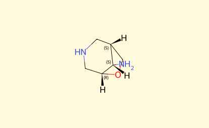 N[C@H]1[C@@H]2CNC[C@H]1OC2